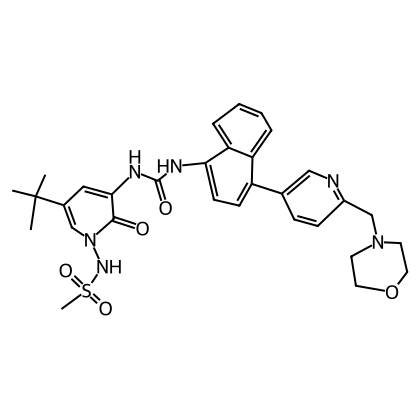 CC(C)(C)c1cc(NC(=O)Nc2ccc(-c3ccc(CN4CCOCC4)nc3)c3ccccc23)c(=O)n(NS(C)(=O)=O)c1